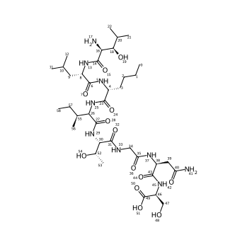 CCCC[C@@H](NC(=O)[C@H](CC(C)C)NC(=O)[C@@H](N)[C@H](O)C(C)C)C(=O)NC(C(=O)N[C@H](C(=O)NCC(=O)N[C@@H](CC(N)=O)C(=O)N[C@@H](CO)C(=O)O)[C@H](C)O)[C@@H](C)CC